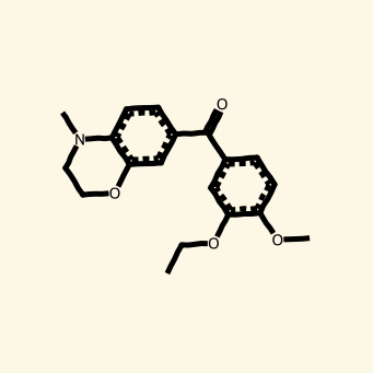 CCOc1cc(C(=O)c2ccc3c(c2)OCCN3C)ccc1OC